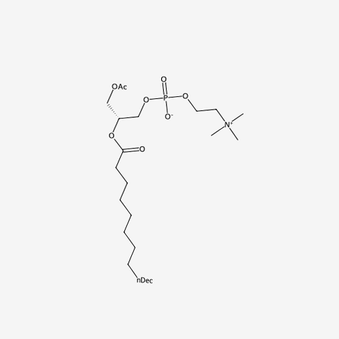 CCCCCCCCCCCCCCCCCC(=O)O[C@H](COC(C)=O)COP(=O)([O-])OCC[N+](C)(C)C